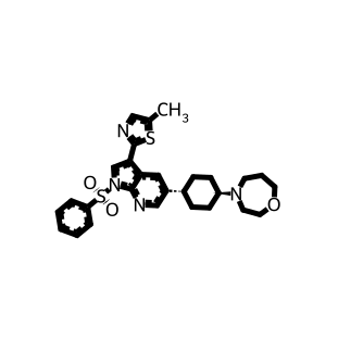 Cc1cnc(-c2cn(S(=O)(=O)c3ccccc3)c3ncc([C@H]4CC[C@H](N5CCCOCC5)CC4)cc23)s1